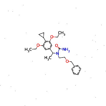 CCOc1cc(C(C)N(CCOCc2ccccc2)C(N)=O)cc(OCC)c1C1CC1